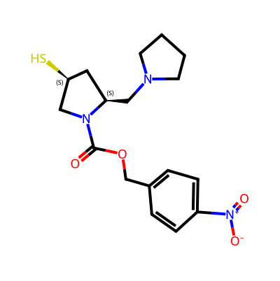 O=C(OCc1ccc([N+](=O)[O-])cc1)N1C[C@@H](S)C[C@H]1CN1CCCC1